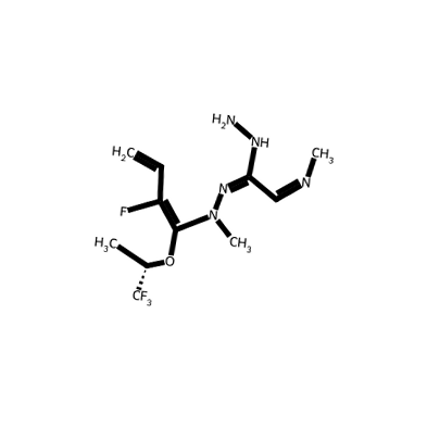 C=C/C(F)=C(/O[C@@H](C)C(F)(F)F)N(C)/N=C(\C=N/C)NN